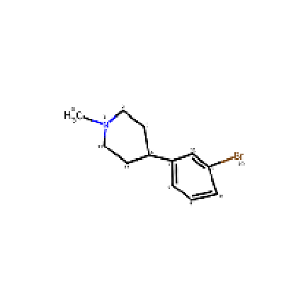 CN1CCC(c2cccc(Br)c2)CC1